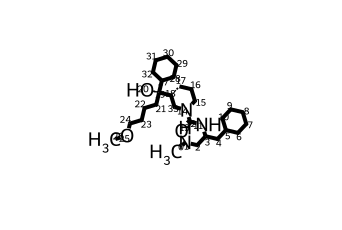 CNCC(CC1CCCCC1)NC(=O)N1CCC[C@@H]([C@@](O)(CCCCOC)C2CCCCC2)C1